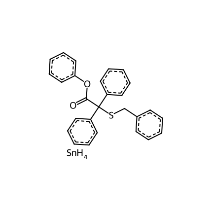 O=C(Oc1ccccc1)C(SCc1ccccc1)(c1ccccc1)c1ccccc1.[SnH4]